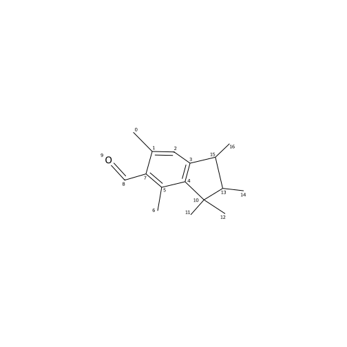 Cc1cc2c(c(C)c1C=O)C(C)(C)C(C)C2C